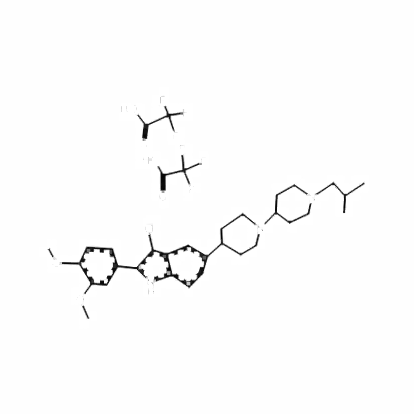 COc1ccc(-c2[nH]c3ccc(C4CCN(C5CCN(CC(C)C)CC5)CC4)cc3c2Cl)cc1OC.O=C(O)C(F)(F)F.O=C(O)C(F)(F)F